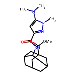 COC(=O)C12CC3CC(C1)C(NC(=O)c1cc(N(C)C)n(C)n1)C(C3)C2